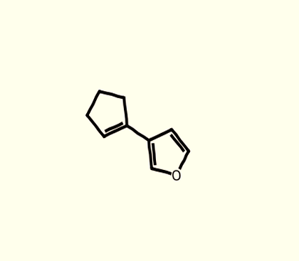 C1=C(c2ccoc2)CCC1